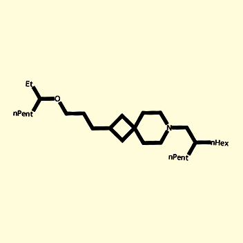 CCCCCCC(CCCCC)CN1CCC2(CC1)CC(CCCOC(CC)CCCCC)C2